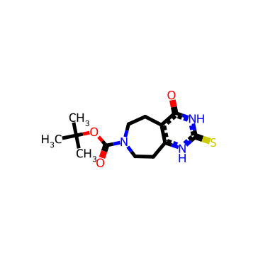 CC(C)(C)OC(=O)N1CCc2[nH]c(=S)[nH]c(=O)c2CC1